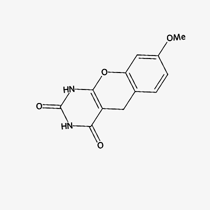 COc1ccc2c(c1)Oc1[nH]c(=O)[nH]c(=O)c1C2